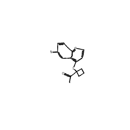 CC(=O)C1(Sc2ccnc3ccc(Br)cc23)CCC1